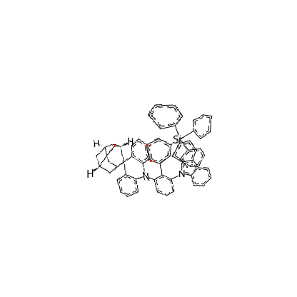 c1ccc([Si](c2ccccc2)(c2ccccc2)c2cccc(-c3c(N4c5ccccc5C5(c6ccccc64)C4C[C@H]6C[C@@H](C4)C[C@@H]5C6)cccc3-n3c4ccccc4c4ccccc43)c2)cc1